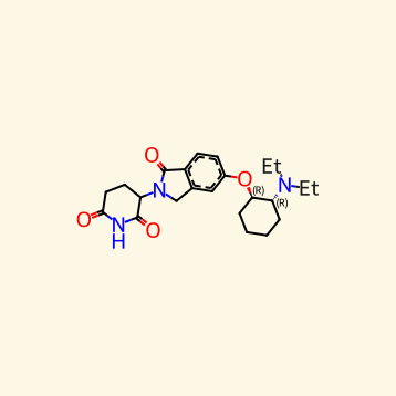 CCN(CC)[C@@H]1CCCC[C@H]1Oc1ccc2c(c1)CN(C1CCC(=O)NC1=O)C2=O